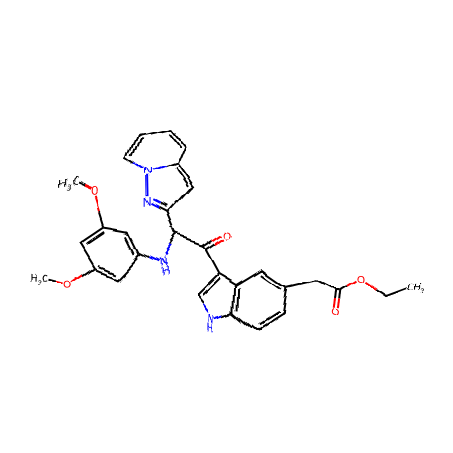 CCOC(=O)Cc1ccc2[nH]cc(C(=O)C(Nc3cc(OC)cc(OC)c3)c3cc4ccccn4n3)c2c1